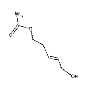 NC(=O)OCCC=CCO